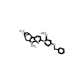 CN1C2CCC1c1c(n(C)c3nc(-n4ccc(OCc5ccccc5)cc4=O)ccc13)C2.Cl